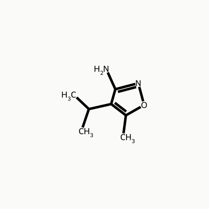 Cc1onc(N)c1C(C)C